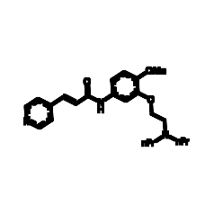 CCCN(CCC)CCOc1cc(NC(=O)C=Cc2ccncc2)ccc1OC